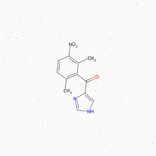 Cc1ccc([N+](=O)[O-])c(C)c1C(=O)c1c[nH]cn1